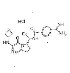 Cl.N=C(N)c1ccc(C(=O)NC(Cl)C2CCc3cnc(NC4CCC4)c(=O)n32)cc1